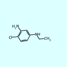 CCNc1ccc(Cl)c(N)c1